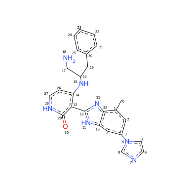 Cc1cc(-n2ccnc2)cc2[nH]c(-c3c(NC(CN)Cc4ccccc4)cc[nH]c3=O)nc12